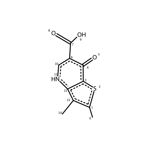 Cc1sc2c(=O)c(C(=O)O)c[nH]c2c1C